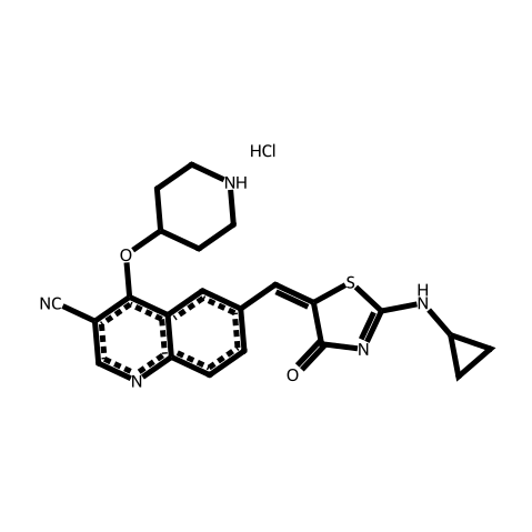 Cl.N#Cc1cnc2ccc(C=C3SC(NC4CC4)=NC3=O)cc2c1OC1CCNCC1